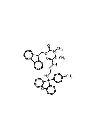 Cc1ccc(C(NCCNC(=O)[C@@H](C)N(C)C(=O)OCC2c3ccccc3-c3ccccc32)(c2ccccc2)c2ccccc2Cl)cc1